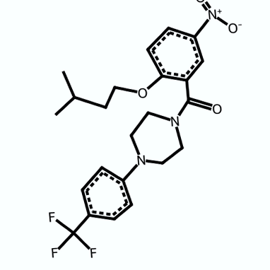 CC(C)CCOc1ccc([N+](=O)[O-])cc1C(=O)N1CCN(c2ccc(C(F)(F)F)cc2)CC1